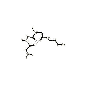 CC(C)CCCNC(=O)CN(C)C(=O)CN(C)C(=O)CN(C)C